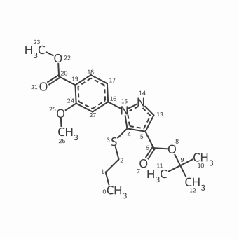 CCCSc1c(C(=O)OC(C)(C)C)cnn1-c1ccc(C(=O)OC)c(OC)c1